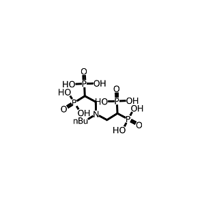 CCCCN(CC(P(=O)(O)O)P(=O)(O)O)CC(P(=O)(O)O)P(=O)(O)O